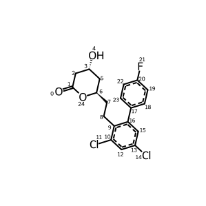 O=C1C[C@H](O)C[C@@H](CCc2c(Cl)cc(Cl)cc2-c2ccc(F)cc2)O1